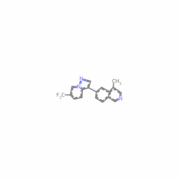 Cc1cncc2ccc(-c3cnn4cc(C(F)(F)F)ccc34)cc12